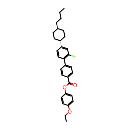 CCCC[C@H]1CC[C@H](c2ccc(-c3ccc(C(=O)Oc4ccc(OCC)cc4)cc3)c(F)c2)CC1